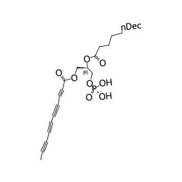 CC#CC#CC#CC#CC(=O)OC[C@H](COP(=O)(O)O)OC(=O)CCCCCCCCCCCCCC